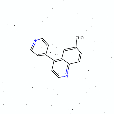 O=Cc1ccc2nccc(-c3ccncc3)c2c1